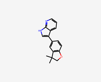 CC1(C)COc2ccc(-c3c[nH]c4ncccc34)cc21